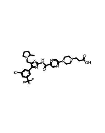 CC1CCCN1Cc1sc(NC(=O)c2cnc(N3CCN(CCC(=O)O)CC3)cn2)nc1-c1cc(Cl)cc(C(F)(F)F)c1